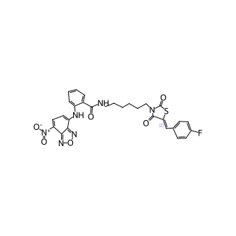 O=C(NCCCCCCN1C(=O)S/C(=C\c2ccc(F)cc2)C1=O)c1ccccc1Nc1ccc([N+](=O)[O-])c2nonc12